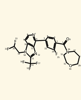 O=C(c1ccc(-c2nccc3c2nc(C(F)(F)F)n3CC(F)F)cc1F)N1CCCOCC1